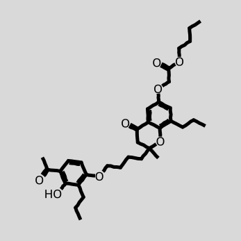 CCCCOC(=O)COc1cc(CCC)c2c(c1)C(=O)CC(C)(CCCCOc1ccc(C(C)=O)c(O)c1CCC)O2